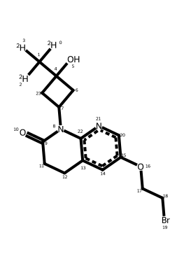 [2H]C([2H])([2H])C1(O)CC(N2C(=O)CCc3cc(OCCBr)cnc32)C1